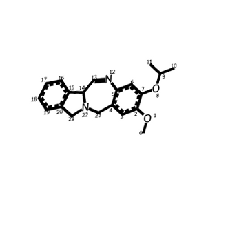 COc1cc2c(cc1OC(C)C)N=CC1c3ccccc3CN1C2